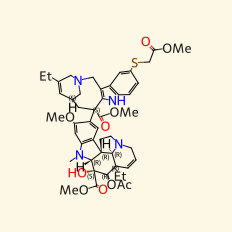 CCC1=C[C@H]2CN(C1)Cc1c([nH]c3ccc(SCC(=O)OC)cc13)[C@@](C(=O)OC)(c1cc3c(cc1OC)N(C)[C@H]1[C@@](O)(C(=O)OC)[C@H](OC(C)=O)[C@]4(CC)C=CCN5CC[C@]31[C@@H]54)C2